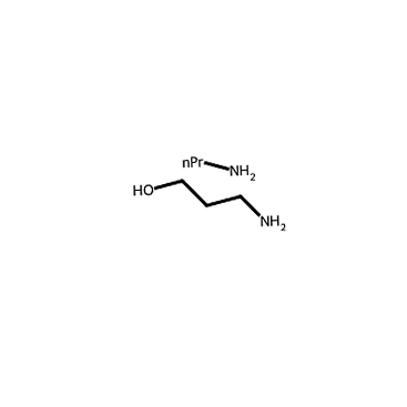 CCCN.NCCCO